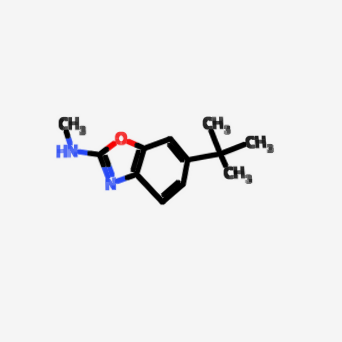 CNc1nc2ccc(C(C)(C)C)cc2o1